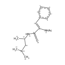 CC(=O)N/C(=C\c1ccccc1)C(=O)NC(C)CN(C)C